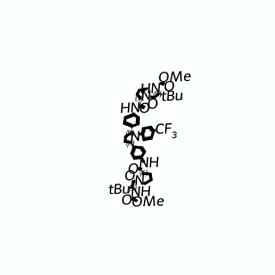 COC(=O)N[C@H](C(=O)N1CCC[C@H]1C(=O)Nc1ccc([C@H]2CC[C@H](c3ccc(NC(=O)[C@@H]4CCCN4C(=O)[C@H](NC(=O)OC)C(C)(C)C)cc3)N2c2ccc(C(F)(F)F)cc2)cc1)C(C)(C)C